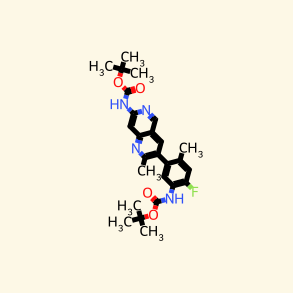 Cc1cc(F)c(NC(=O)OC(C)(C)C)cc1-c1cc2cnc(NC(=O)OC(C)(C)C)cc2nc1C